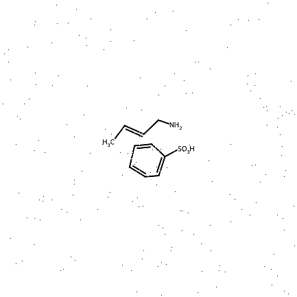 CC=CCN.O=S(=O)(O)c1ccccc1